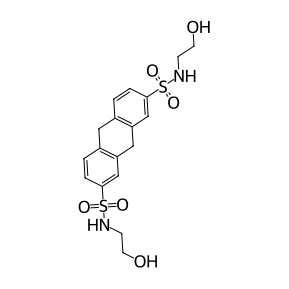 O=S(=O)(NCCO)c1ccc2c(c1)Cc1cc(S(=O)(=O)NCCO)ccc1C2